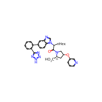 CCCCCCC(C(=O)N1CC(Oc2cccnc2)C[C@H]1C(=O)O)n1cnc2cc(-c3ccccc3-c3nn[nH]n3)ccc21